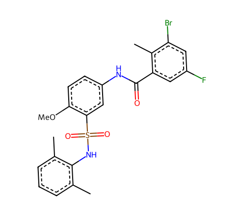 COc1ccc(NC(=O)c2cc(F)cc(Br)c2C)cc1S(=O)(=O)Nc1c(C)cccc1C